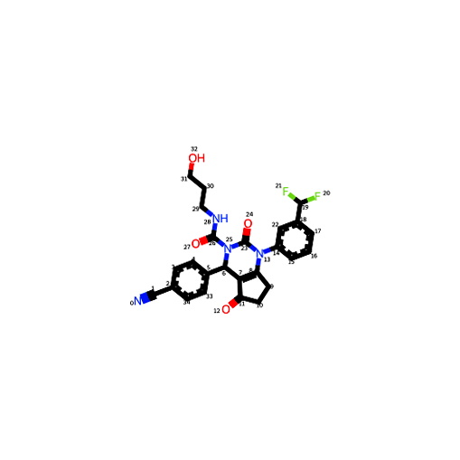 N#Cc1ccc(C2C3=C(CCC3=O)N(c3cccc(C(F)F)c3)C(=O)N2C(=O)NCCCO)cc1